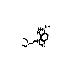 CCN(CC)CCn1cnc2ccc3c(nnn3S)c21